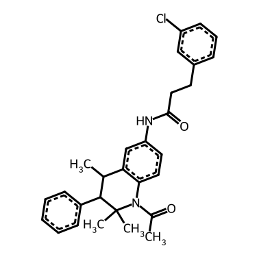 CC(=O)N1c2ccc(NC(=O)CCc3cccc(Cl)c3)cc2C(C)C(c2ccccc2)C1(C)C